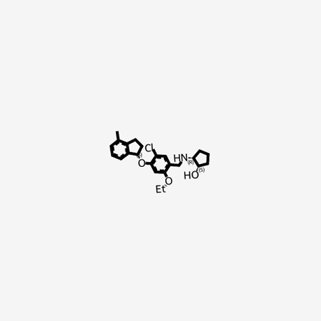 CCOc1cc(O[C@H]2CCc3c(C)cccc32)c(Cl)cc1CN[C@@H]1CCC[C@@H]1O